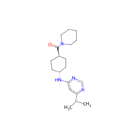 CC(C)c1cc(N[C@H]2CC[C@H](C(=O)N3CCCCC3)CC2)ncn1